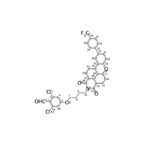 O=Cc1c(Cl)cc(OCCCCn2c(=O)c3ccc4oc5ccc(-c6ccc(C(F)(F)F)cc6)cc5c5ccc(c2=O)c3c45)cc1Cl